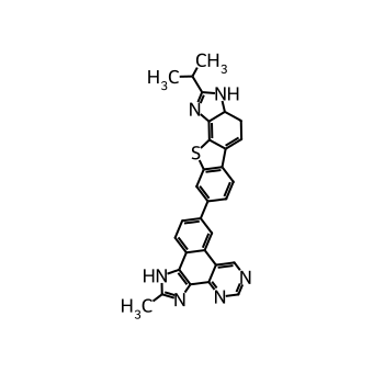 Cc1nc2c3ncncc3c3cc(-c4ccc5c6c(sc5c4)=C4N=C(C(C)C)NC4CC=6)ccc3c2[nH]1